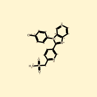 NS(=O)(=O)Cc1ccc(-c2nc3ccncc3n2-c2ccc(Cl)cc2)cn1